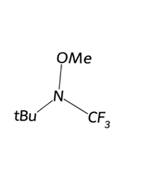 CON(C(C)(C)C)C(F)(F)F